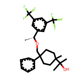 C[C@@H](OCC1(c2ccccc2)CCC(C)(C(C)(C)O)CC1)c1cc(C(F)(F)F)cc(C(F)(F)F)c1